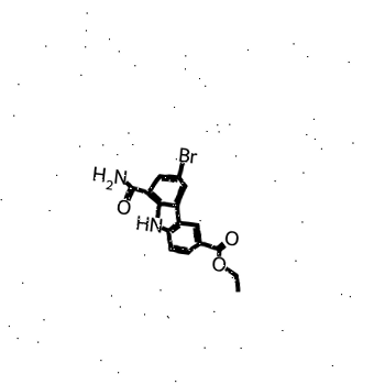 CCOC(=O)c1ccc2[nH]c3c(C(N)=O)cc(Br)cc3c2c1